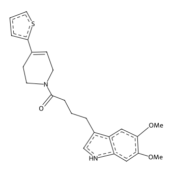 COc1cc2[nH]cc(CCCC(=O)N3CC=C(c4cccs4)CC3)c2cc1OC